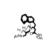 CC(=O)NC/C(N)=C/N(N)C(CC(=O)NO)Cc1ccc2ccccc2c1